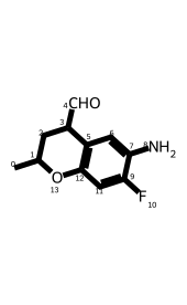 CC1CC(C=O)c2cc(N)c(F)cc2O1